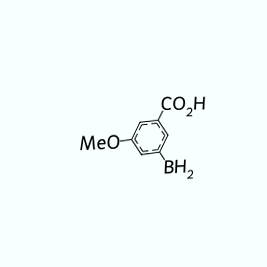 Bc1cc(OC)cc(C(=O)O)c1